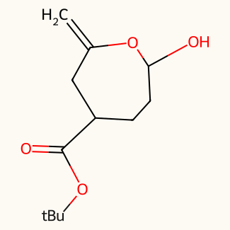 C=C1CC(C(=O)OC(C)(C)C)CCC(O)O1